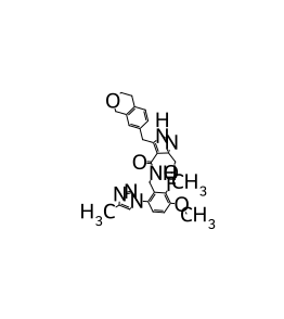 COCc1n[nH]c(Cc2ccc3c(c2)COCC3)c1C(=O)NCc1c(-n2cc(C)nn2)ccc(OC)c1F